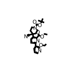 CCOC(=O)c1nc(-c2cccnc2OCC)ccc1C1(C#N)CCN(C(=O)OC(C)(C)C)CC1